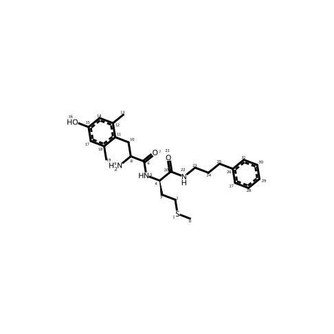 CSCC[C@@H](NC(=O)C(N)Cc1c(C)cc(O)cc1C)C(=O)NCCCc1ccccc1